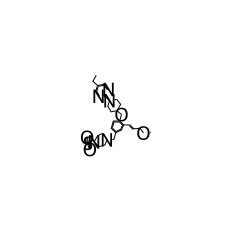 CCc1cnc(N2CCC(Oc3ccc(CN4CCN(S(C)(=O)=O)CC4)cc3/C=C/COC)CC2)nc1